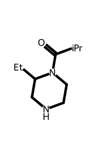 [CH2]C(C)C(=O)N1CCNCC1CC